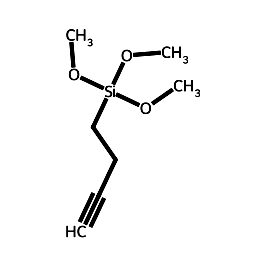 C#CCC[Si](OC)(OC)OC